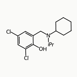 CC(C)N(Cc1cc(Cl)cc(Cl)c1O)C1CCCCC1